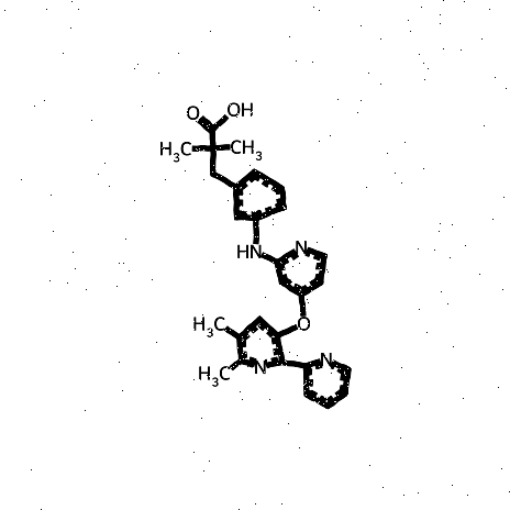 Cc1cc(Oc2ccnc(Nc3cccc(CC(C)(C)C(=O)O)c3)c2)c(-c2ccccn2)nc1C